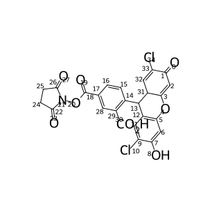 O=C1C=C2Oc3cc(O)c(Cl)cc3C(c3ccc(C(=O)ON4C(=O)CCC4=O)cc3C(=O)O)C2C=C1Cl